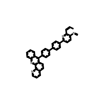 C=Nc1ccc(-c2ccc(-c3ccc(-c4c5ccccc5nc5c4ccc4cccnc45)cc3)cc2)nc1/C=C\C